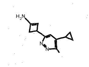 Cc1nnc(C2C=C(N)C2)cc1C1CC1